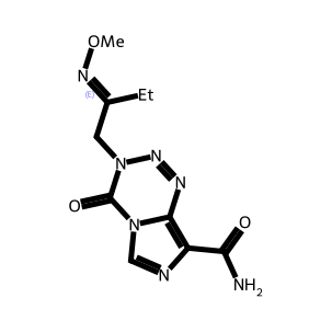 CC/C(Cn1nnc2c(C(N)=O)ncn2c1=O)=N\OC